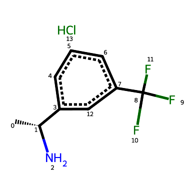 C[C@@H](N)c1cccc(C(F)(F)F)c1.Cl